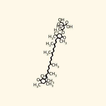 CC1=C(/C=C/C(C)=C/C=C/C(C)=C/C=C/C=C(C)/C=C/C=C(C)/C=C/C2=C(C)C(=O)C(OC(=O)CC(O)(CC(=O)O)C(=O)O)CC2(C)C)C(C)(C)CC(C)C1=O